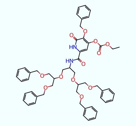 CCOC(=O)Oc1cc(C(=O)NC(COC(COCc2ccccc2)COCc2ccccc2)COC(COCc2ccccc2)COCc2ccccc2)[nH]c(=O)c1OCc1ccccc1